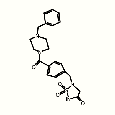 O=C1CN(Cc2ccc(C(=O)N3CCN(Cc4ccccc4)CC3)cc2)S(=O)(=O)N1